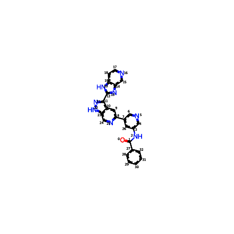 O=C(Nc1cncc(-c2cc3c(-c4nc5cnccc5[nH]4)n[nH]c3cn2)c1)c1ccccc1